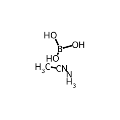 CC#N.N.OB(O)O